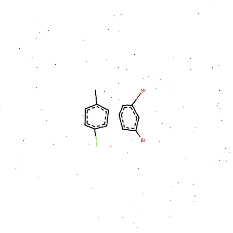 Brc1cccc(Br)c1.Cc1ccc(F)cc1